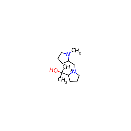 CN1CCCC1CN1CCCC1C(C)(C)O